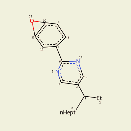 CCCCCCCC(CC)c1cnc(-c2ccc3c(c2)O3)nc1